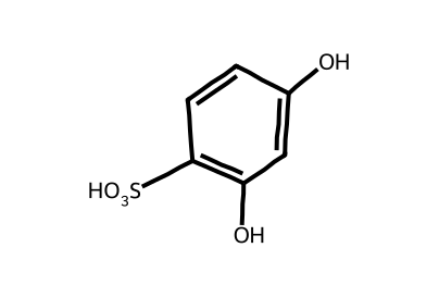 O=S(=O)(O)c1ccc(O)cc1O